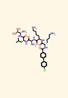 CC(C)C[C@H](NC(=O)[C@H](N)NC(=O)C(CCCCN)NC(=O)[C@H](CCCCN)NC(=O)c1ccc(-c2ccc(Cl)cc2)cc1)C(=O)N[C@@H](N)B(O)O